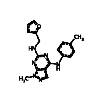 Cc1ccc(Nc2nc(NCc3ccco3)nc3c2cnn3C)cc1